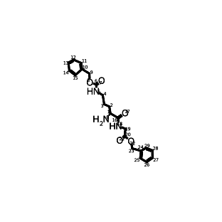 N[C@@H](CCCNC(=O)OCc1ccccc1)C(=O)NCC(=O)OCc1ccccc1